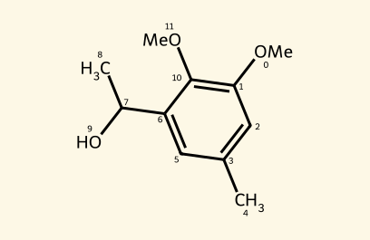 COc1cc(C)cc(C(C)O)c1OC